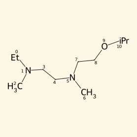 CCN(C)CCN(C)CCOC(C)C